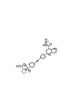 NNC(=O)c1cc(-c2ccc(C#Cc3ccc(S(=O)(=O)N4CCCC4C(=O)O)cc3)cc2)nc2ccncc12